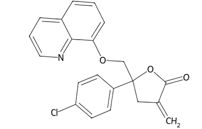 C=C1CC(COc2cccc3cccnc23)(c2ccc(Cl)cc2)OC1=O